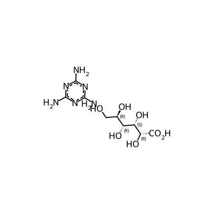 Nc1nc(N)nc(N)n1.O=C(O)[C@H](O)[C@@H](O)[C@H](O)[C@H](O)CO